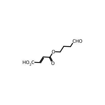 O=CCCCOC(=O)C=CC(=O)O